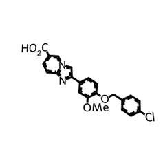 COc1cc(-c2cn3cc(C(=O)O)ccc3n2)ccc1OCc1ccc(Cl)cc1